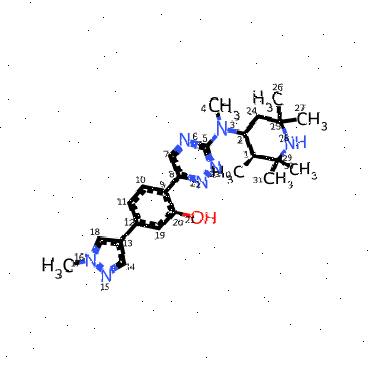 C[C@H]1C(N(C)c2ncc(-c3ccc(-c4cnn(C)c4)cc3O)nn2)CC(C)(C)NC1(C)C